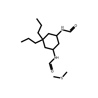 CCCC1(CCC)CC(NC=O)CC(NC=O)C1.[CH3][Ti][CH3]